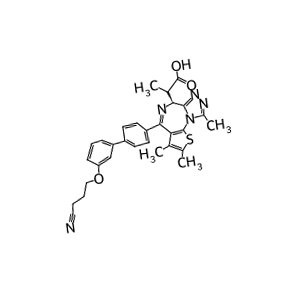 Cc1sc2c(c1C)C(c1ccc(-c3cccc(OCCCC#N)c3)cc1)=N[C@@H](C(C)C(=O)O)c1nnc(C)n1-2